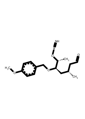 COc1ccc(CO[C@H](C[C@@H](C)CC=O)[C@@H](C)OB=N)cc1